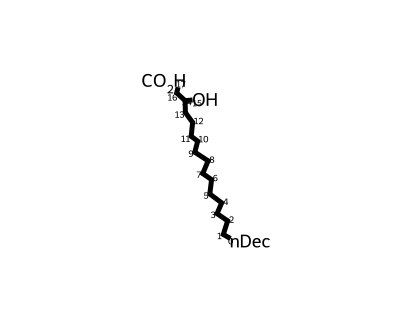 CCCCCCCCCCCCCCCCCCCCCCCC(O)CC(=O)O